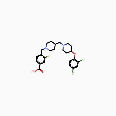 O=C(O)c1ccc(CN2CCC(CN3CCC(Oc4ccc(Cl)cc4Cl)CC3)CC2)c(F)c1